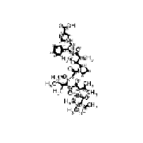 CC[C@H](C)[C@@H]([C@@H](CC(=O)N1CCC[C@H]1[C@H](OC)[C@H](C)C(=O)N[C@H](C[SH]1C=NC(C(=O)O)=C1)c1ccccc1)OC)N(C)C(=O)[C@@H](NC(=O)[C@H](C(C)C)N(C)C)C(C)C